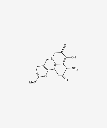 COC1=CCC2=C(O1)C1=C3C(=C(O)C(=O)CN3C2)C([N+](=O)[O-])C(=O)C1